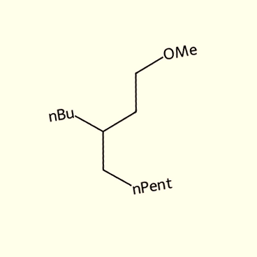 CCCCCCC(CCCC)CCOC